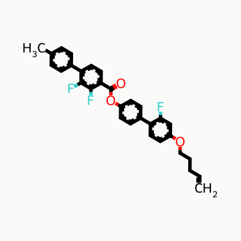 C=CCCCOc1ccc(-c2ccc(OC(=O)c3ccc(-c4ccc(C)cc4)c(F)c3F)cc2)c(F)c1